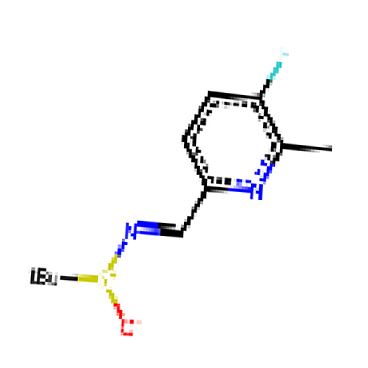 Cc1nc(/C=N/[S+]([O-])C(C)(C)C)ccc1F